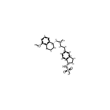 COc1cccc2c1CCC[C@H]2CN(C)CCc1ccc2c(c1)CCN2NS(C)(=O)=O